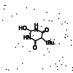 CC(C)(C)C1C(=O)NC(O)NC1=O